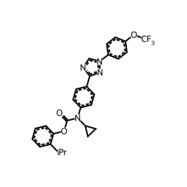 CC(C)c1ccccc1OC(=O)N(c1ccc(-c2ncn(-c3ccc(OC(F)(F)F)cc3)n2)cc1)C1CC1